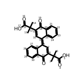 CC(C)(C(=O)O)C1=C/C(=C2/C=C(C(C)(C)C(=O)O)C(=O)c3ccccc32)c2ccccc2C1=O